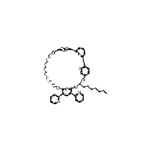 CCCCCCCC1Oc2ccc(nc2)-c2cccc(n2)-c2ccc(cn2)OCCCCCCCCOc2cc(c(-c3ccccn3)cc2-c2ccccn2)O1